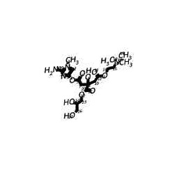 Cn1cc(OC(=O)CC(O)(CC(=O)OCC[N+](C)(C)C)C(=O)OCC(O)CO)nc1N